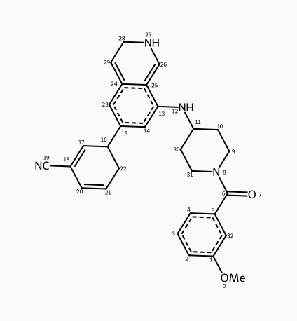 COc1cccc(C(=O)N2CCC(Nc3cc(C4C=C(C#N)C=CC4)cc4c3=CNCC=4)CC2)c1